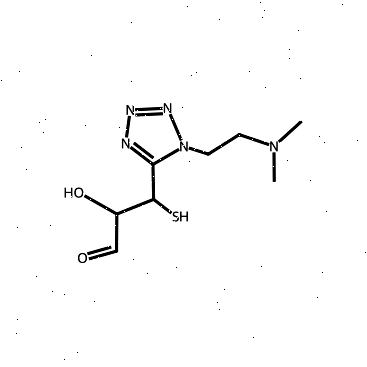 CN(C)CCn1nnnc1C(S)C(O)C=O